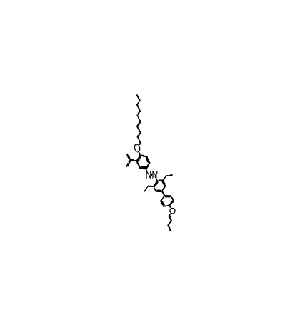 CCCCCCCCCCOc1ccc(/N=N/c2c(CC)cc(-c3ccc(OCCCC)cc3)cc2CC)cc1C(C)C